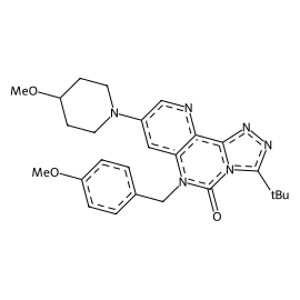 COc1ccc(Cn2c(=O)n3c(C(C)(C)C)nnc3c3ncc(N4CCC(OC)CC4)cc32)cc1